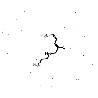 C/C=C\C=C(/C)CNCCC